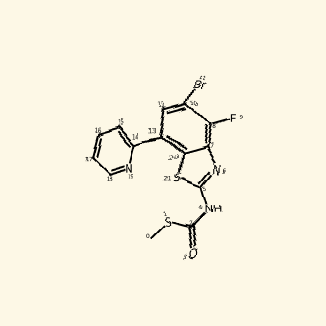 CSC(=O)Nc1nc2c(F)c(Br)cc(-c3ccccn3)c2s1